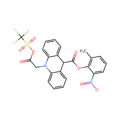 Cc1cccc([N+](=O)[O-])c1OC(=O)C1c2ccccc2N(CC(=O)OS(=O)(=O)C(F)(F)F)c2ccccc21